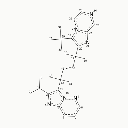 CC(C)c1nc2cccnn2c1C(C)(C)CCC(C)(C)c1nc2cnccn2c1C(C)(C)C